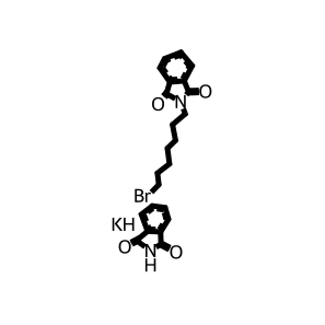 O=C1NC(=O)c2ccccc21.O=C1c2ccccc2C(=O)N1CCCCCCCBr.[KH]